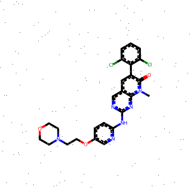 Cn1c(=O)c(-c2c(Cl)cccc2Cl)cc2cnc(Nc3ccc(OCCN4CCOCC4)cn3)nc21